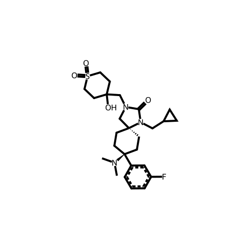 CN(C)[C@]1(c2cccc(F)c2)CC[C@]2(CC1)CN(CC1(O)CCS(=O)(=O)CC1)C(=O)N2CC1CC1